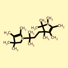 CC1=C(C)C(C)(C)CN1C(C)(C)CCC1(C)C(C)=C(C)N(C)C1(C)C